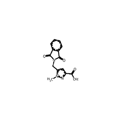 Cn1nc(C(=O)O)cc1CN1C(=O)c2ccccc2C1=O